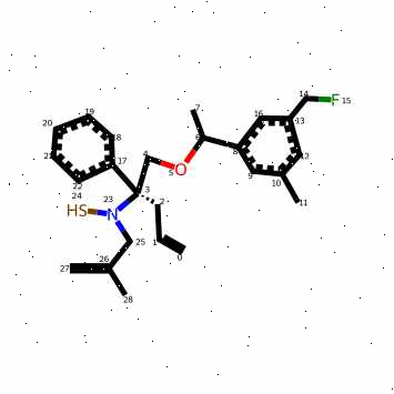 C=CC[C@@](COC(C)c1cc(C)cc(CF)c1)(c1ccccc1)N(S)CC(=C)C